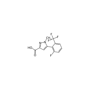 Cn1nc(C(=O)O)cc1-c1c(F)cccc1C(F)(F)F